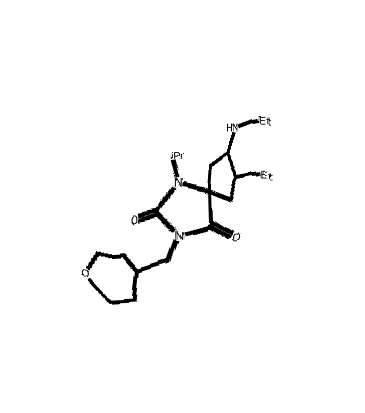 CCNC1CC2(CC1CC)C(=O)N(CC1CCOCC1)C(=O)N2C(C)C